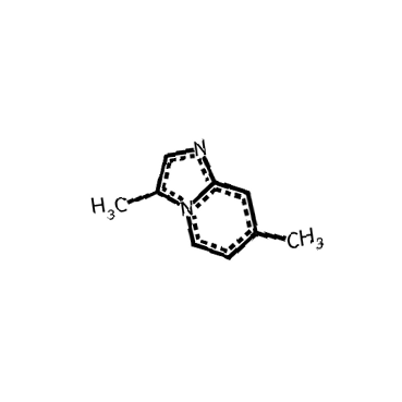 Cc1ccn2c(C)cnc2c1